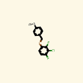 COc1ccc(CSc2ccc(F)c(Cl)c2F)cc1